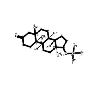 CC(C)[Si](OC1CC[C@H]2[C@@H]3CCC4(C#N)CC(=O)CC[C@]4(C)[C@@H]3CC[C@]12C)(C(C)C)C(C)C